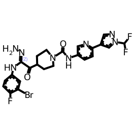 N/N=C(\Nc1ccc(F)c(Br)c1)C(=O)C1CCN(C(=O)Nc2ccc(-c3cnn(C(F)F)c3)nc2)CC1